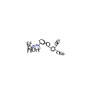 CC/C(=C\C=C\C(O)(C(F)(F)F)C(F)(F)F)c1cccc(OCc2ccc(CO[Si](C)(C)C(C)(C)C)c(CO[Si](C)(C)C(C)(C)C)c2)c1